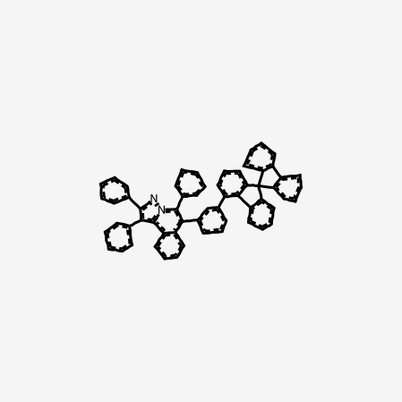 c1ccc(-c2nn3c(-c4ccccc4)c(-c4cccc(-c5cccc6c5-c5ccccc5C65c6ccccc6-c6ccccc65)c4)c4ccccc4c3c2-c2ccccc2)cc1